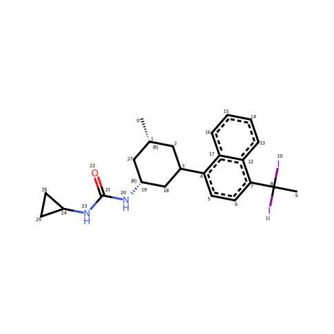 C[C@@H]1CC(c2ccc(C(C)(I)I)c3ccccc23)C[C@H](NC(=O)NC2CC2)C1